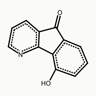 O=C1c2cccnc2-c2c(O)cccc21